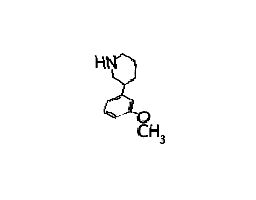 COc1cccc([C@@H]2CCCNC2)c1